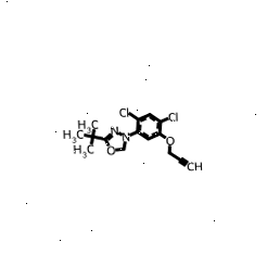 C#CCOc1cc(N2COC(C(C)(C)C)=N2)c(Cl)cc1Cl